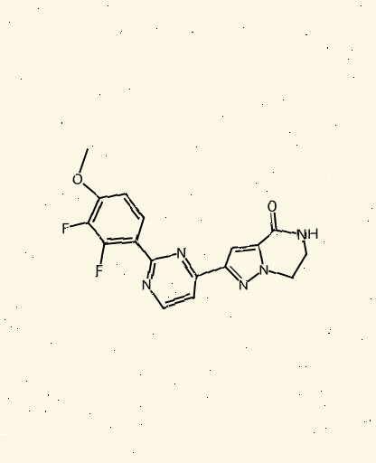 COc1ccc(-c2nccc(-c3cc4n(n3)CCNC4=O)n2)c(F)c1F